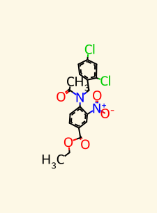 CCOC(=O)c1ccc(N(Cc2ccc(Cl)cc2Cl)C(C)=O)c([N+](=O)[O-])c1